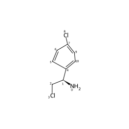 N[C@@H](CCl)c1ccc(Cl)cc1